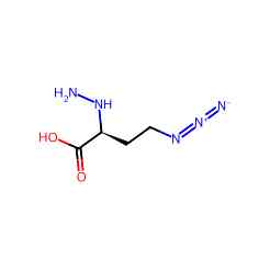 [N-]=[N+]=NCC[C@H](NN)C(=O)O